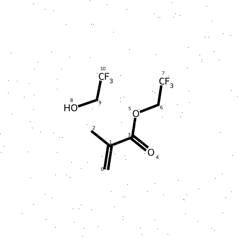 C=C(C)C(=O)OCC(F)(F)F.OCC(F)(F)F